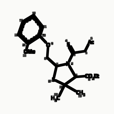 CCOC(=O)C1N(C(=S)CC(C)=O)C(COc2ccccc2OC)SC1(C)C